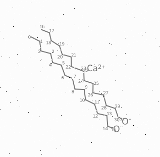 CCCCCCCCCCCCCCC[O-].CCCCCCCCCCCCCCC[O-].[Ca+2]